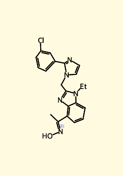 CCn1c(Cn2ccnc2-c2cccc(Cl)c2)nc2c(/C(C)=N/O)cccc21